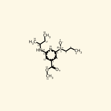 CCC[S@+]([O-])c1cc(C(=O)OC)cc(NC(C)CC)n1